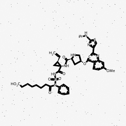 C=C[C@@H]1C[C@]1(NC(=O)[C@@H]1C[C@@H](Oc2cc(-c3csc(NC(C)C)n3)nc3cc(OC)ccc23)CN1)C(=O)NS(=O)(=O)N(C(=O)CCCCCCC(=O)O)c1ccccc1